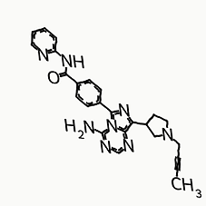 CC#CCN1CCC(c2nc(-c3ccc(C(=O)Nc4ccccn4)cc3)n3c(N)ncnc23)C1